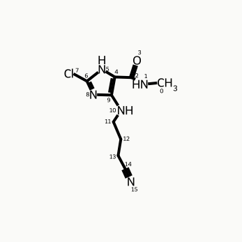 CNC(=O)c1[nH]c(Cl)nc1NCCCC#N